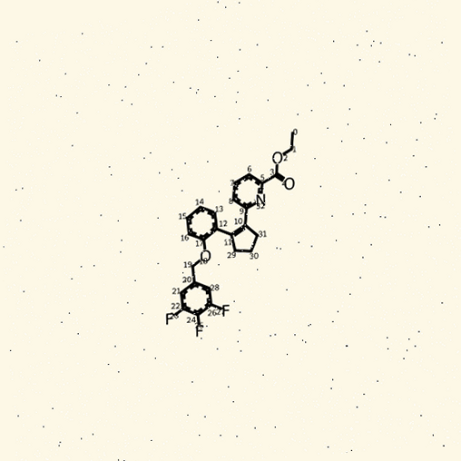 CCOC(=O)c1cccc(C2=C(c3ccccc3OCc3cc(F)c(F)c(F)c3)CCC2)n1